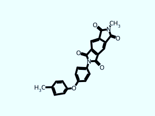 Cc1ccc(Oc2ccc(-n3c(=O)c4cc5c(=O)n(C)c(=O)c5cc4c3=O)cc2)cc1